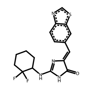 O=C1NC(NC2CCCCC2(F)F)=N/C1=C\c1ccc2ncsc2c1